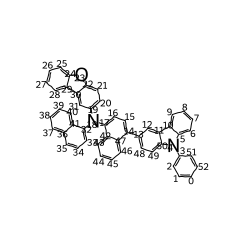 c1ccc(-n2c3ccccc3c3cc(-c4ccc(N(c5ccc6oc7ccccc7c6c5)c5cccc6ccccc56)c5ccccc45)ccc32)cc1